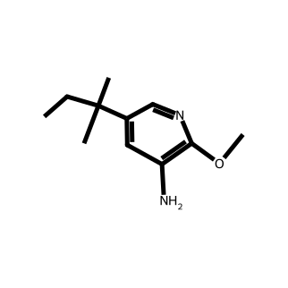 CCC(C)(C)c1cnc(OC)c(N)c1